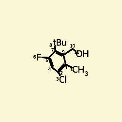 Cc1c(Cl)cc(F)c(C(C)(C)C)c1CO